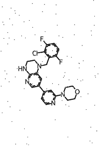 Fc1ccc(F)c(CN2CCNc3ncc(-c4ccnc(N5CCOCC5)c4)cc32)c1Cl